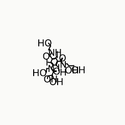 O=C(NCCO)c1c(I)c(C(=O)NCC(O)CO)c(I)c(N(CCO)C(=O)C(CO)CO)c1I